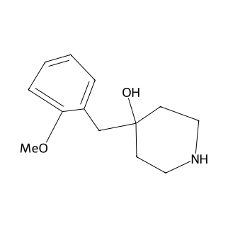 COc1ccccc1CC1(O)CCNCC1